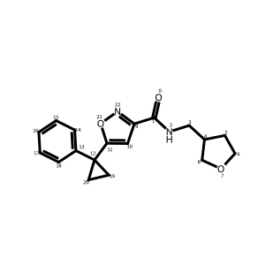 O=C(NCC1CCOC1)c1cc(C2(c3ccccc3)CC2)on1